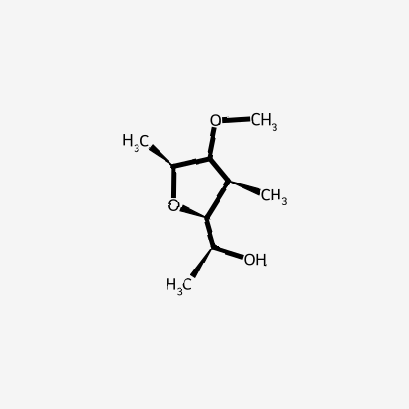 COC1[C@H](C)O[C@H]([C@H](C)O)[C@@H]1C